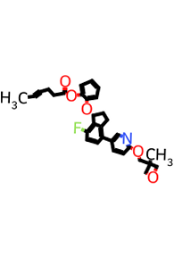 CC#CCCC(=O)Oc1ccccc1O[C@@H]1CCc2c(-c3ccc(OCC4(C)COC4)nc3)ccc(F)c21